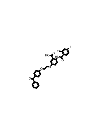 O=C(c1ccccc1)c1ccc(OCCOc2ccc(NC(=O)c3ccc(Cl)cc3Cl)c(C(=O)O)c2)cc1